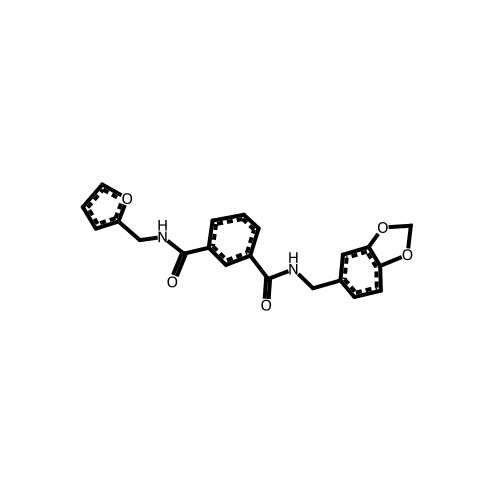 O=C(NCc1ccc2c(c1)OCO2)c1cccc(C(=O)NCc2ccco2)c1